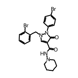 O=C(NN1CCCCC1)c1cn(Cc2ccccc2Br)n(-c2ccc(Br)cc2)c1=O